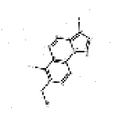 Fc1c(CBr)ccc2c1ncc1c(F)cnn12